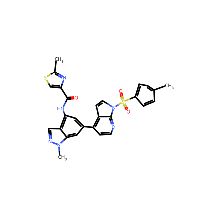 Cc1ccc(S(=O)(=O)n2ccc3c(-c4cc(NC(=O)c5csc(C)n5)c5cnn(C)c5c4)ccnc32)cc1